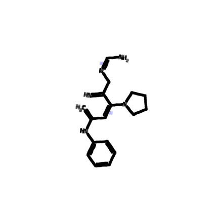 C=C(/C=C(\C(=N)C/N=C\N)N1CCCC1)Nc1ccccc1